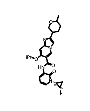 CC(C)Oc1cc2nc(C3CCC(C)OC3)cn2cc1C(=O)Nc1cccn([C@@H]2C[C@@H]2F)c1=O